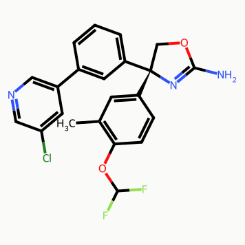 Cc1cc([C@@]2(c3cccc(-c4cncc(Cl)c4)c3)COC(N)=N2)ccc1OC(F)F